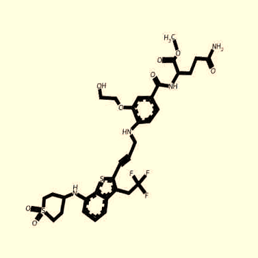 COC(=O)C(CCC(N)=O)NC(=O)c1ccc(NCC#Cc2sc3c(NC4CCS(=O)(=O)CC4)cccc3c2CC(F)(F)F)c(OCCO)c1